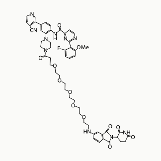 COc1cccc(F)c1-c1nccc(C(=O)Nc2ccc(-c3cnccc3C#N)cc2N2CCN(C(=O)CCOCCOCCOCCOCCOCCNc3ccc4c(c3)C(=O)N(C3CCC(=O)NC3=O)C4=O)CC2)n1